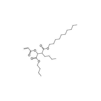 C=CC(=O)OC(C(=O)OCCCC)C(CCCC)C(=O)OCCCCCCCCCC